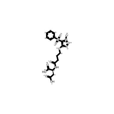 O=C(O)C[C@H](NC(=O)CCCOc1no[n+]([O-])c1S(=O)(=O)c1ccccc1)C(=O)O